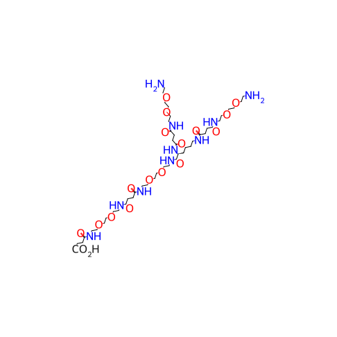 NCCOCCOCCNC(=O)CCC(=O)NCCCC[C@H](NC(=O)CCC(=O)NCCOCCOCCN)C(=O)NCCOCCOCCNC(=O)CCC(=O)NCCOCCOCCNC(=O)CCC(=O)O